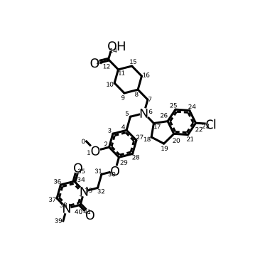 COc1cc(CN(CC2CCC(C(=O)O)CC2)C2CCc3cc(Cl)ccc32)ccc1OCCn1c(=O)ccn(C)c1=O